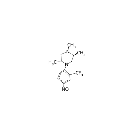 C[C@@H]1CN(C)[C@@H](C)CN1c1ccc(N=O)cc1C(F)(F)F